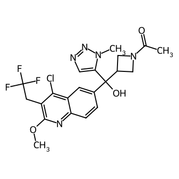 COc1nc2ccc(C(O)(c3cnnn3C)C3CN(C(C)=O)C3)cc2c(Cl)c1CC(F)(F)F